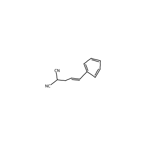 N#CC(C#N)CC=Cc1ccccc1